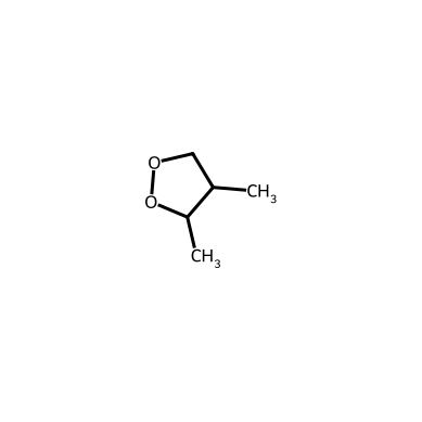 CC1COOC1C